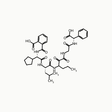 CCCC(NC(=O)[C@H](CC(C)C)NC(=O)[C@@H](NC(=O)c1ccccc1C(=O)O)C1CCCC1)C(=O)C(=O)NCC(=O)N[C@H](C(=O)O)c1ccccc1